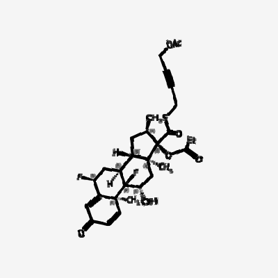 CCC(=O)O[C@]1(C(=O)SCC#CCOC(C)=O)[C@H](C)C[C@H]2[C@@H]3C[C@H](F)C4=CC(=O)C=C[C@]4(C)[C@@]3(F)[C@@H](O)C[C@@]21C